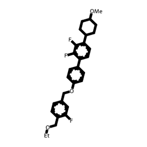 CCOCc1ccc(COc2ccc(-c3ccc(C4CCC(OC)CC4)c(F)c3F)cc2)cc1F